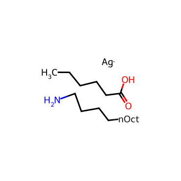 CCCCCC(=O)O.CCCCCCCCCCCCN.[Ag]